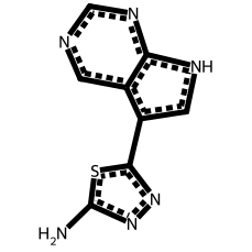 Nc1nnc(-c2c[nH]c3ncncc23)s1